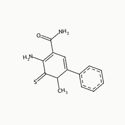 CC1C(=S)C(N)=C(C(N)=O)C=C1c1ccccc1